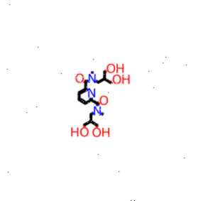 CN(CC(CO)CO)C(=O)c1cccc(C(=O)N(C)CC(CO)CO)n1